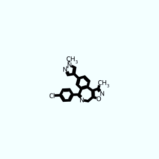 Cc1noc2c1-c1ccc(-c3cnn(C)c3)cc1C(c1ccc(Cl)cc1)=NC2